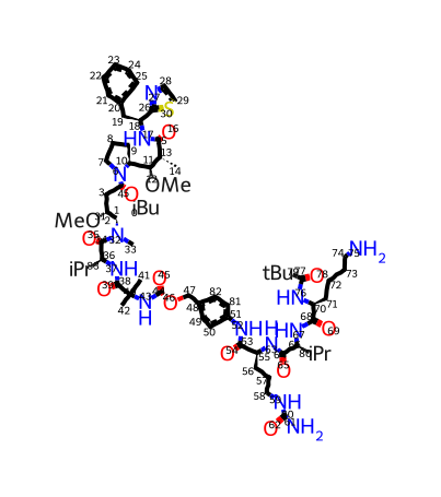 CC[C@H](C)[C@@H]([C@@H](CC(=O)N1CCC[C@H]1[C@H](OC)[C@@H](C)C(=O)N[C@@H](Cc1ccccc1)c1nccs1)OC)N(C)C(=O)[C@@H](NC(=O)C(C)(C)NC(=O)OCc1ccc(NC(=O)[C@H](CCCNC(N)=O)NC(=O)[C@@H](NC(=O)[C@H](CCCCN)NC(=O)C(C)(C)C)C(C)C)cc1)C(C)C